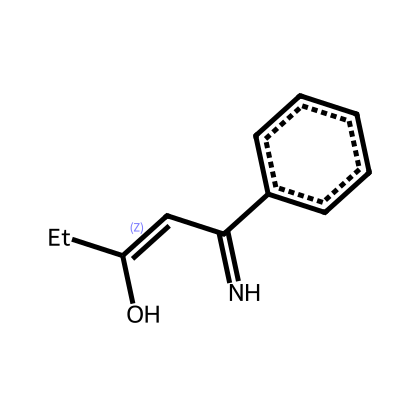 CC/C(O)=C/C(=N)c1ccccc1